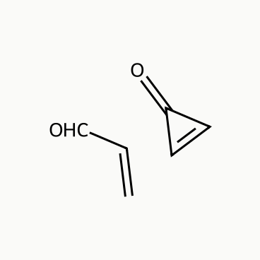 C=CC=O.O=c1cc1